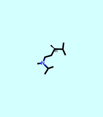 CC(C)[C@H](C)CCN(C)C(C)C